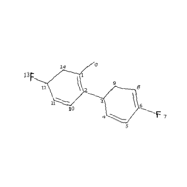 CC1=C(C2C=CC(F)=CC2)C=CC(F)C1